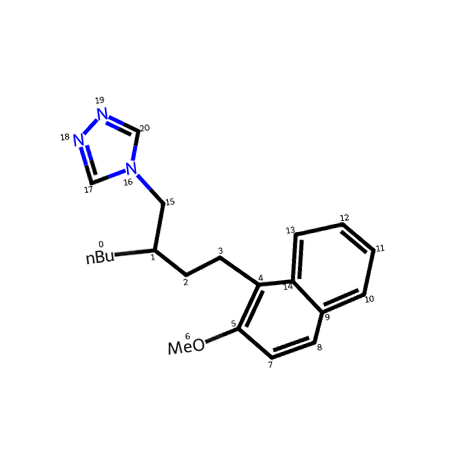 CCCCC(CCc1c(OC)ccc2ccccc12)Cn1cnnc1